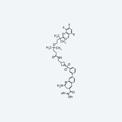 CCCN(CCC)C(=O)C1=Cc2ccc(-c3cccc(S(=O)(=O)N4CC(CNC(=O)CCC(C)(C)OCCC(C)(C)C(=O)Oc5c(F)c(F)cc(F)c5F)C4)c3)cc2N=C(N)C1